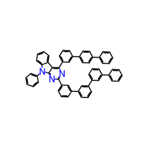 c1ccc(-c2ccc(-c3cccc(-c4nc(-c5cccc(-c6cccc(-c7cccc(-c8ccccc8)c7)c6)c5)nc5c4c4ccccc4n5-c4ccccc4)c3)cc2)cc1